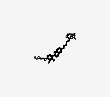 C=CCOc1ccc(-c2ccc3cc(/C=C/CCCC(C)OCCCCC)ccc3n2)c(F)c1F